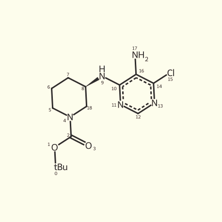 CC(C)(C)OC(=O)N1CCC[C@@H](Nc2ncnc(Cl)c2N)C1